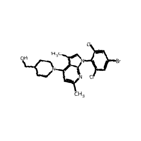 Cc1cc(N2CCC(CO)CC2)c2c(C)cn(-c3c(Cl)cc(Br)cc3Cl)c2n1